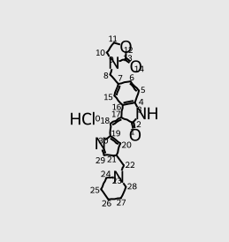 Cl.O=C1Nc2ccc(CN3CCOC3=O)cc2/C1=C/C1=CC(CN2CCCCC2)C=N1